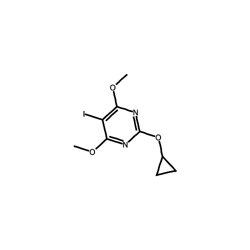 COc1nc(OC2CC2)nc(OC)c1I